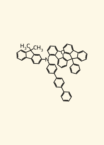 CC1(C)c2ccccc2-c2ccc(N(c3ccc(-c4ccc(-c5ccccc5)cc4)cc3)c3cccc4oc5c(C6(c7ccccc7)c7ccccc7-c7ccccc76)cccc5c34)cc21